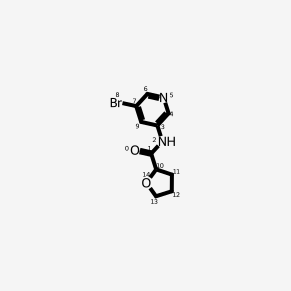 O=C(Nc1cncc(Br)c1)C1CCCO1